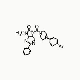 CC(=O)c1ccc(N2CCN(C(=O)n3c(=O)n(C)c4nc(-c5ccccc5)ncc43)CC2)cc1